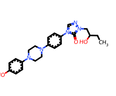 CCC(O)Cn1ncn(-c2ccc(N3CCN(c4ccc(O)cc4)CC3)cc2)c1=O